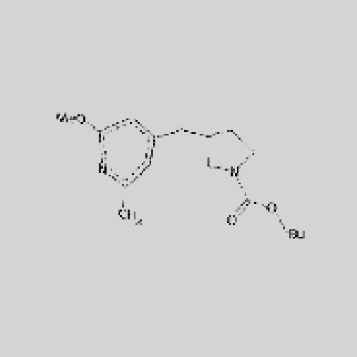 COc1cc(CC2CCN(C(=O)OC(C)(C)C)C2)cc(C)n1